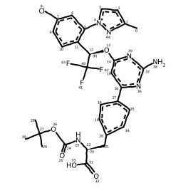 Cc1ccn(-c2cc(Cl)ccc2[C@@H](Oc2cc(-c3ccc(C[C@H](NC(=O)OC(C)(C)C)C(=O)O)cc3)nc(N)n2)C(F)(F)F)n1